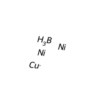 B.[Cu].[Ni].[Ni]